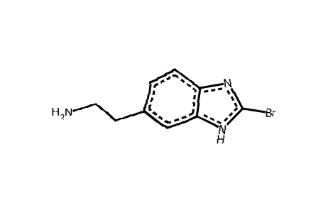 NCCc1ccc2nc(Br)[nH]c2c1